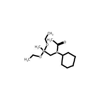 CCO[Si](C)(CN(C(C)=O)C1CCCCC1)OCC